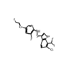 FCCOc1cnc(NSc2c[nH]c3c(C(F)F)c(Cl)ccc23)c(F)c1